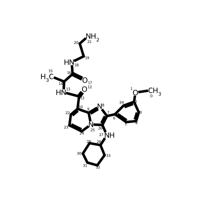 COc1cccc(-c2nc3c(C(=O)NC(C)C(=O)NCCN)cccn3c2NC2CCCCC2)c1